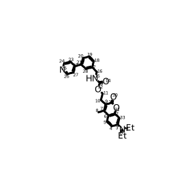 CCN(CC)c1ccc2c(C)c(CCOC(=O)NCc3cccc(-c4ccncc4)c3)c(=O)oc2c1